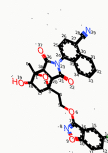 CC12OC(CCOc3noc4ccc(Cl)cc34)(CC1O)C1C(=O)N(c3ccc(C#N)c4ccccc34)C(=O)C12